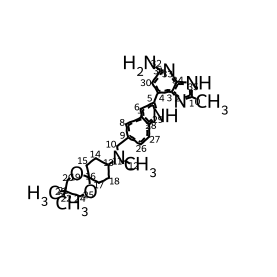 Cc1nc2c(-c3cc4cc(CN(C)C5CCC6(CC5)OCC(C)(C)CO6)ccc4[nH]3)cc(N)nc2[nH]1